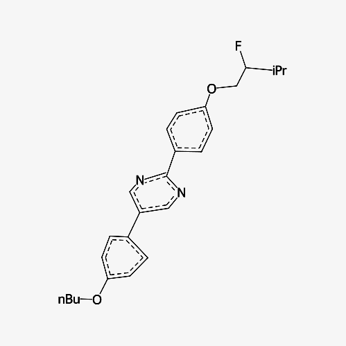 CCCCOc1ccc(-c2cnc(-c3ccc(OCC(F)C(C)C)cc3)nc2)cc1